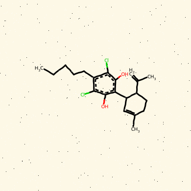 C=C(C)C1CCC(C)=CC1c1c(O)c(Cl)c(CCCCC)c(Cl)c1O